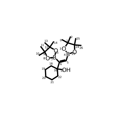 CC1(C)OB(/C=C(\B2OC(C)(C)C(C)(C)O2)C2(O)CCCCC2)OC1(C)C